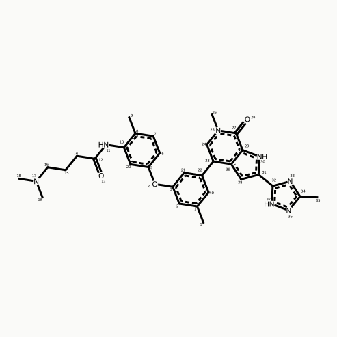 Cc1cc(Oc2ccc(C)c(NC(=O)CCCN(C)C)c2)cc(-c2cn(C)c(=O)c3[nH]c(-c4nc(C)n[nH]4)cc23)c1